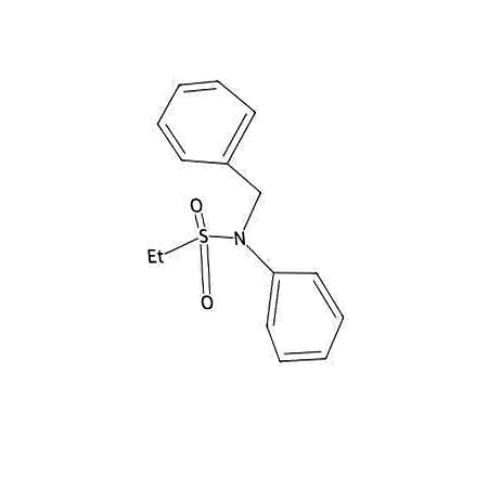 CCS(=O)(=O)N(Cc1ccccc1)c1ccccc1